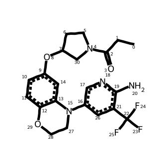 CCC(=O)N1CCC(Oc2ccc3c(c2)N(c2cnc(N)c(C(F)(F)F)c2)CCO3)C1